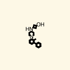 Cc1c(-c2ccccc2)cccc1N1CCC(N[C@H]2C[C@H](O)C2)CC1